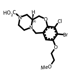 COCCOc1cc2c(c(Cl)c1Br)OC[C@H]1CN(C(=O)O)CCN1C2